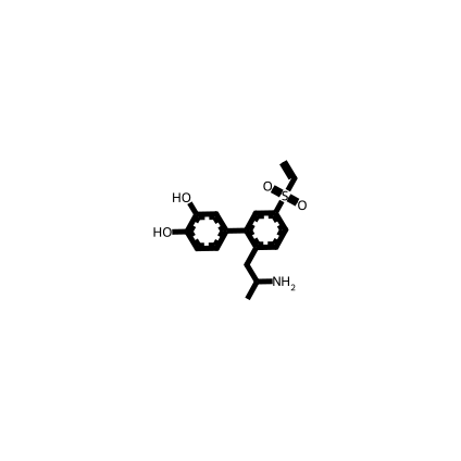 C=CS(=O)(=O)c1ccc(CC(C)N)c(-c2ccc(O)c(O)c2)c1